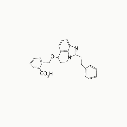 O=C(O)c1ccccc1COC1CCn2c(CCc3ccccc3)nc3cccc1c32